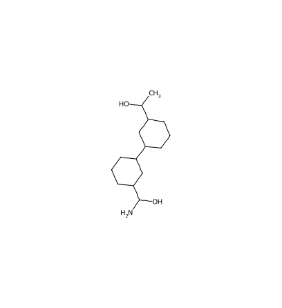 CC(O)C1CCCC(C2CCCC(C(N)O)C2)C1